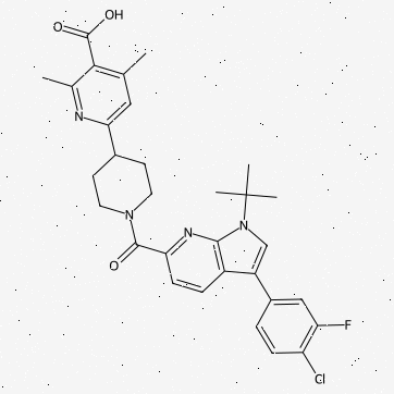 Cc1cc(C2CCN(C(=O)c3ccc4c(-c5ccc(Cl)c(F)c5)cn(C(C)(C)C)c4n3)CC2)nc(C)c1C(=O)O